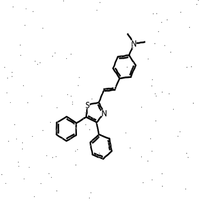 CN(C)c1ccc(C=Cc2nc(-c3ccccc3)c(-c3ccccc3)s2)cc1